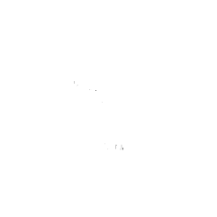 CC(=O)NC(C)C(C)CCN(C)C